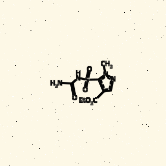 CCOC(=O)c1cnn(C)c1S(=O)(=O)NC(N)=O